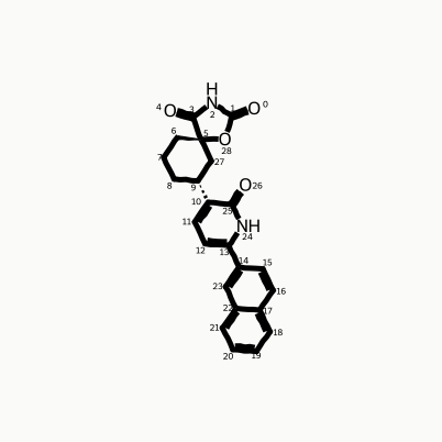 O=C1NC(=O)[C@]2(CCC[C@@H](c3ccc(-c4ccc5ccccc5c4)[nH]c3=O)C2)O1